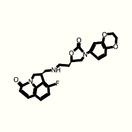 O=C1O[C@H](CCNC[C@@H]2Cn3c(=O)ccc4ccc(F)c2c43)CN1c1ccc2c(c1)OCCO2